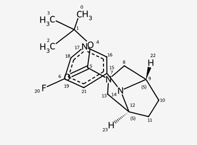 CC(C)(C)OC(=O)N1C[C@@H]2CC[C@@H](C1)N2c1cncc(F)c1